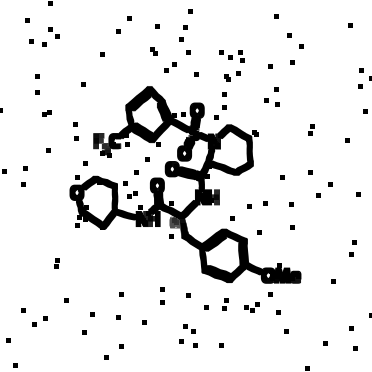 COc1ccc(C[C@H](NC(=O)C2CCCCN2S(=O)(=O)c2cccc(C(F)(F)F)c2)C(=O)NC2CCOCC2)cc1